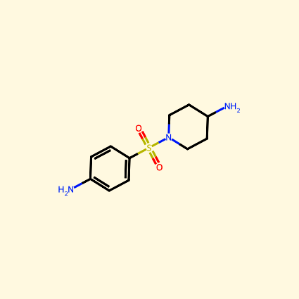 Nc1ccc(S(=O)(=O)N2CCC(N)CC2)cc1